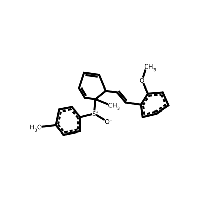 COc1ccccc1/C=C/C1C=CC=CC1(C)[S+]([O-])c1ccc(C)cc1